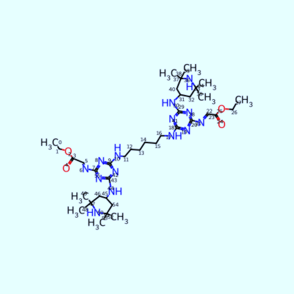 CCOC(=O)/C=N/c1nc(NCCCCCCNc2nc(/N=C/C(=O)OCC)nc(NC3CC(C)(C)NC(C)(C)C3)n2)nc(NC2CC(C)(C)NC(C)(C)C2)n1